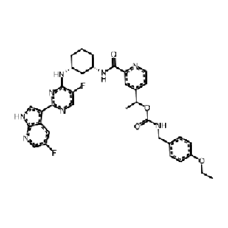 CCOc1ccc(CNC(=O)OC(C)c2ccnc(C(=O)N[C@H]3CCC[C@@H](Nc4nc(-c5c[nH]c6ncc(F)cc56)ncc4F)C3)c2)cc1